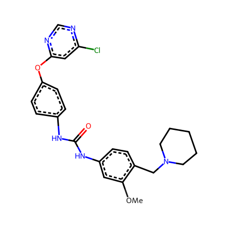 COc1cc(NC(=O)Nc2ccc(Oc3cc(Cl)ncn3)cc2)ccc1CN1CCCCC1